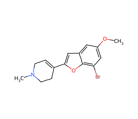 COc1cc(Br)c2oc(C3=CCN(C)CC3)cc2c1